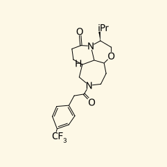 CC(C)[C@H]1COC2CCN(C(=O)Cc3ccc(C(F)(F)F)cc3)C[C@H]3CCC(=O)N1C23